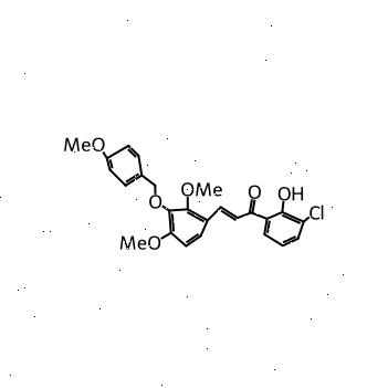 COc1ccc(COc2c(OC)ccc(C=CC(=O)c3cccc(Cl)c3O)c2OC)cc1